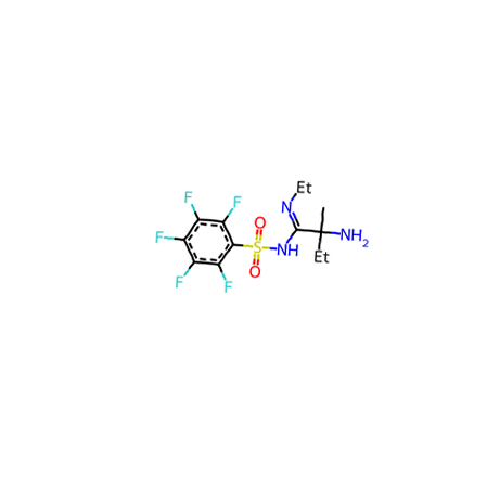 CC/N=C(/NS(=O)(=O)c1c(F)c(F)c(F)c(F)c1F)C(C)(N)CC